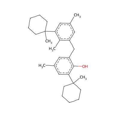 Cc1cc(Cc2cc(C)cc(C3(C)CCCCC3)c2O)c(C)c(C2(C)CCCCC2)c1